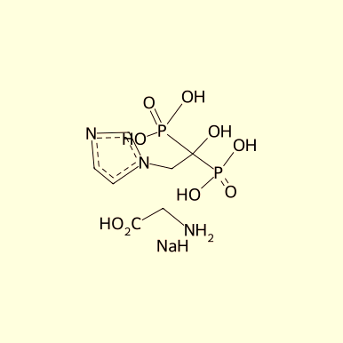 NCC(=O)O.O=P(O)(O)C(O)(Cn1ccnc1)P(=O)(O)O.[NaH]